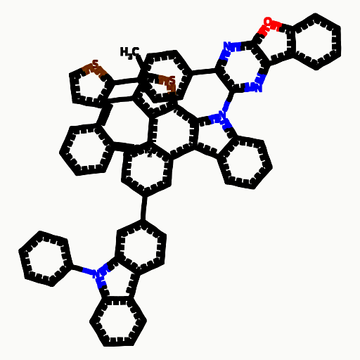 C=c1cccc/c1=C/c1c(C)sc2c1c1ccc(-c3ccc4c5ccccc5n(-c5ccccc5)c4c3)cc1c1c3ccccc3n(-c3nc4c(nc3-c3ccc(-c5cccs5)cc3)oc3ccccc34)c21